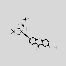 CC(C)(C)OC(=O)NC1(C#Cc2ccc3c(=O)c4cc(O)ccc4sc3c2)COC(C)(C)OC1